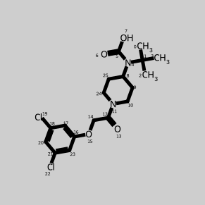 CC(C)(C)N(C(=O)O)C1CCN(C(=O)COc2cc(Cl)cc(Cl)c2)CC1